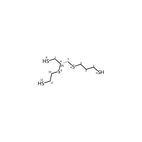 SCCCSC[C@@H](CS)SCCS